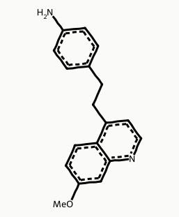 COc1ccc2c(CCc3ccc(N)cc3)ccnc2c1